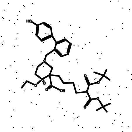 CCOP1(=O)CCN(Cc2ccccc2-c2ccc(O)cc2)CC1(CCCCN(C(=O)OC(C)(C)C)C(=O)OC(C)(C)C)C(=O)O